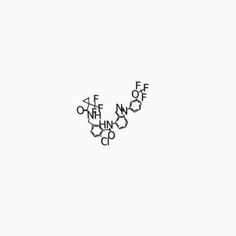 O=C(Nc1cccc2c1cnn2-c1cccc(OC(F)(F)F)c1)c1cc(CNC(=O)C2(C(F)(F)F)CC2)ccc1Cl